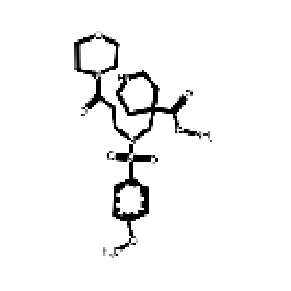 COc1ccc(S(=O)(=O)N(CCC(=O)N2CCOCC2)CC2(C(=O)ON)CCNCC2)cc1